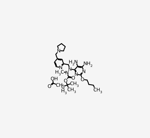 CC(=O)O.CCCCOc1nc(N)c(N)c(N(Cc2cc(CN3CCCC3)ccn2)N(C)C(=O)OC(C)(C)C)n1